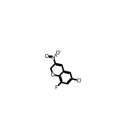 O=[N+]([O-])C1=Cc2cc(Cl)cc(F)c2OC1